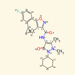 Cc1c(C(=O)Nc2c(C)n(C)n(C3CCCCC3)c2=O)noc1-c1ccc(F)cc1C1CC1